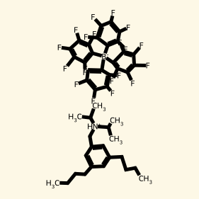 CCCCc1cc(CCCC)cc(C[NH+](C(C)C)C(C)C)c1.Fc1c(F)c(F)c([B-](c2c(F)c(F)c(F)c(F)c2F)(c2c(F)c(F)c(F)c(F)c2F)c2c(F)c(F)c(F)c(F)c2F)c(F)c1F